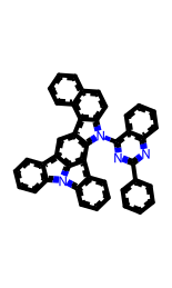 c1ccc(-c2nc(-n3c4ccc5ccccc5c4c4cc5c6ccccc6n6c7ccccc7c(c43)c56)c3ccccc3n2)cc1